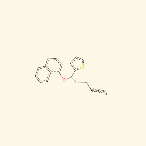 CN(O)CC[C@H](Oc1cccc2ccccc12)c1cccs1